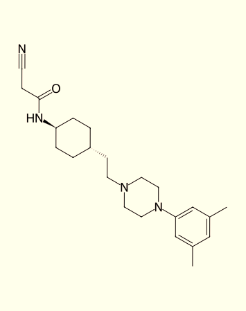 Cc1cc(C)cc(N2CCN(CC[C@H]3CC[C@H](NC(=O)CC#N)CC3)CC2)c1